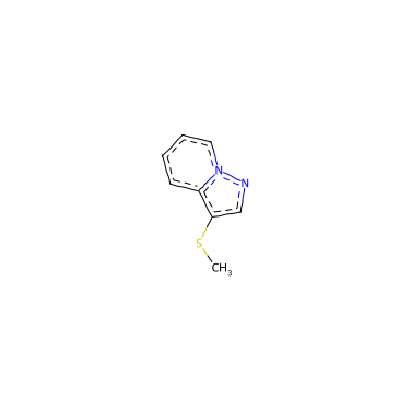 CSc1cnn2ccccc12